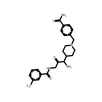 NC(=O)c1ccc(CN2CCC(C(N)C(=O)CNC(=O)c3cccc(C(F)(F)F)c3)CC2)cc1